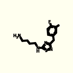 Cc1cc(Cc2nsc(NCCCCN)n2)ccc1F